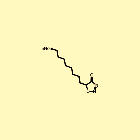 CCCCCCCCCCCCCCCCCC1ON=NC1=O